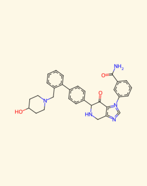 NC(=O)c1cccc(-n2cnc3c2C(=O)C(c2ccc(-c4ccccc4CN4CCC(O)CC4)cc2)NC3)c1